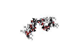 CCC(=O)N[C@@H](C(=O)N1CCN(C)CC1)[C@@H](C)c1ccc(NC(=O)[C@@H](NC(=O)c2ccnn2C(C)C)C(C2CC2)C2CC2c2cc(C(=O)N[C@H](C(=O)Nc3ccc([C@H](C)[C@@H](NC(=O)[C@H](C)OC)C(=O)N4C[C@H]5C[C@@H]4CN5Cc4cnn(CC)c4C(=O)N[C@H](C(=O)Nc4ccc([C@H](C)[C@@H](NC(=O)[C@H](C)OC)C(=O)N5CC[C@H](N(C)C)C5)cc4F)C(C4CC4)C4CC4)cc3F)C(C3CC3)C3CC3)n(CC)n2)c(F)c1